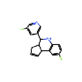 Fc1cncc(C2Nc3ccc(F)cc3C3C=CCC32)c1